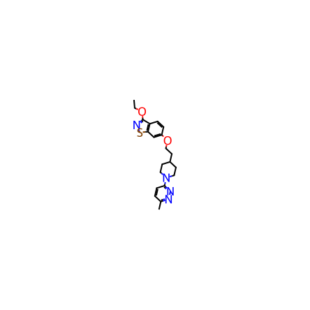 CCOc1nsc2cc(OCCC3CCN(c4ccc(C)nn4)CC3)ccc12